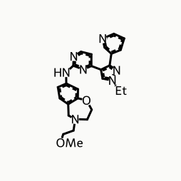 CCn1cc(-c2ccnc(Nc3ccc4c(c3)OCCN(CCOC)C4)n2)c(-c2cccnc2)n1